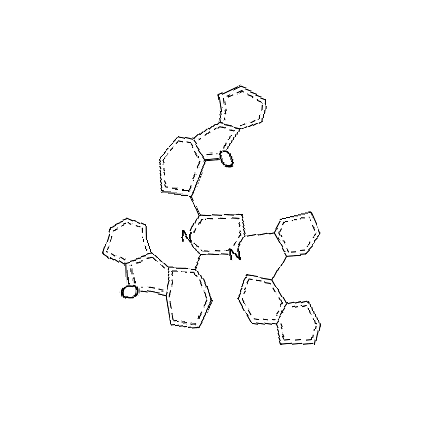 c1ccc(-c2cccc3ccccc23)c(-c2cc(-c3cccc4c3oc3ccccc34)nc(-c3cccc4oc5ccccc5c34)n2)c1